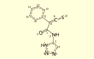 O=C(Nc1[c]nn[nH]1)C(=C=S)c1ccccc1